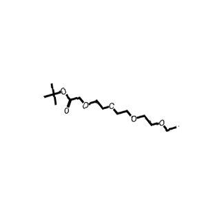 [CH2]COCCOCCOCCOCC(=O)OC(C)(C)C